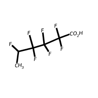 CC(F)C(F)(F)C(F)(F)C(F)(F)C(=O)O